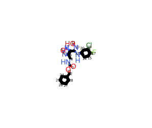 O=C(NCc1nonc1C(=NO)Nc1ccc(F)c(Cl)c1)OCc1ccccc1